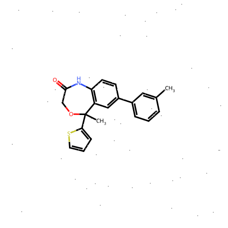 Cc1cccc(-c2ccc3c(c2)C(C)(c2cccs2)OCC(=O)N3)c1